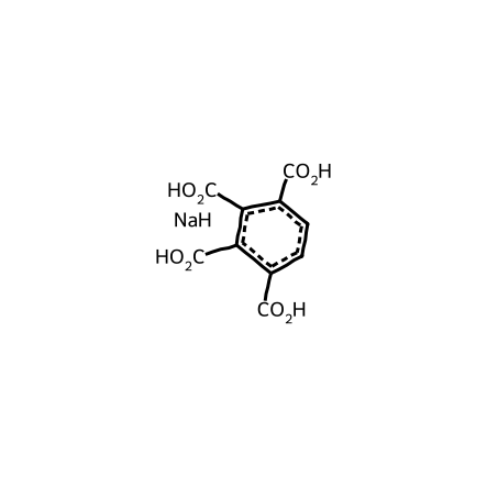 O=C(O)c1ccc(C(=O)O)c(C(=O)O)c1C(=O)O.[NaH]